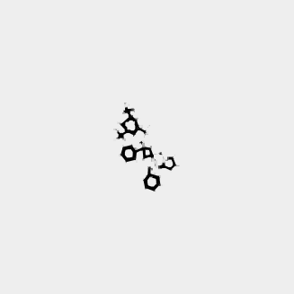 C[C@@H](OC[C@]1(c2ccccc2)C[C@@](CN2CCCC2=O)(NCc2ccccc2)C1)c1cc(C(F)(F)F)cc(C(F)(F)F)c1